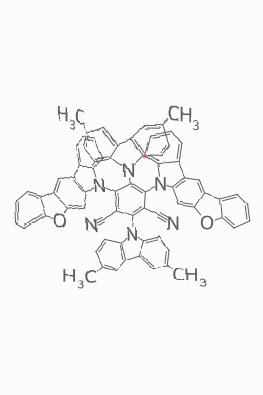 Cc1ccc2c(c1)c1cc(C)ccc1n2-c1c(C#N)c(-n2c3ccccc3c3cc4c(cc32)oc2ccccc24)c(-n2c3ccc(C)cc3c3cc(C)ccc32)c(-n2c3ccccc3c3cc4c(cc32)oc2ccccc24)c1C#N